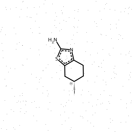 Nc1nc2c(s1)C[C@@H](I)CC2